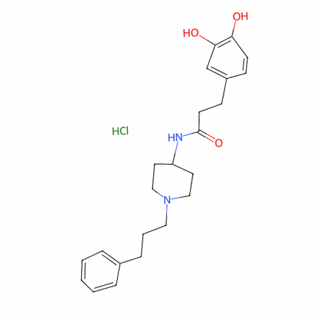 Cl.O=C(CCc1ccc(O)c(O)c1)NC1CCN(CCCc2ccccc2)CC1